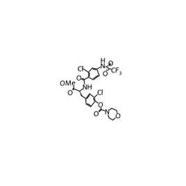 COC(=O)[C@H](Cc1ccc(OC(=O)N2CCOCC2)c(Cl)c1)NC(=O)c1ccc(NS(=O)(=O)C(F)(F)F)cc1Cl